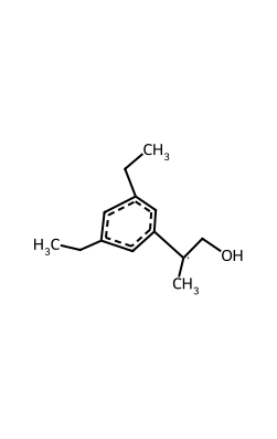 CCc1cc(CC)cc([C](C)CO)c1